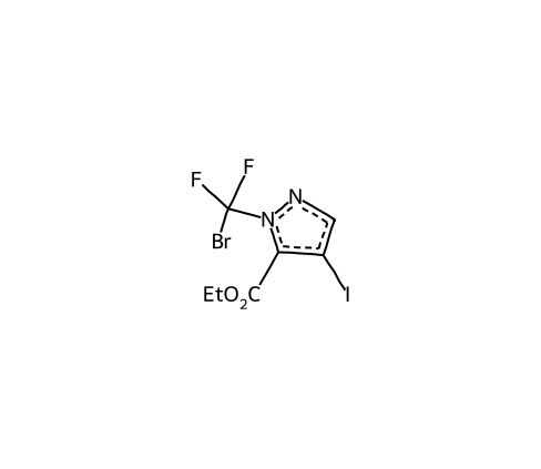 CCOC(=O)c1c(I)cnn1C(F)(F)Br